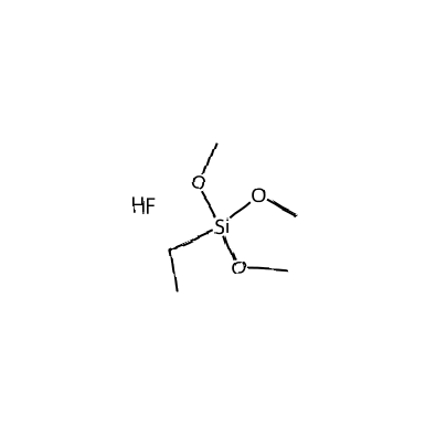 CC[Si](OC)(OC)OC.F